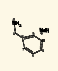 NCc1c[c]ccc1.[NaH]